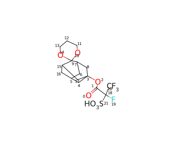 O=C(OC12CC3CC(C1)C1(OCCCO1)C(C3)C2)C(F)(C(F)(F)F)S(=O)(=O)O